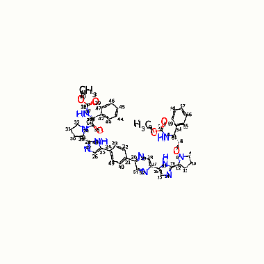 COC(=O)N[C@@H](CON1CCC[C@H]1c1ncc(-c2cnc(-c3ccc(-c4cnc([C@@H]5CCCN5C(=O)[C@H](NC(=O)OC)c5ccccc5)[nH]4)cc3)cn2)[nH]1)c1ccccc1